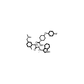 Cc1ccc(CN(C)C)cc1NC(=O)[C@H](NC(=O)N1CCC(Oc2ccc(F)cc2)CC1)[C@@H](C)c1c[nH]c2ccccc12